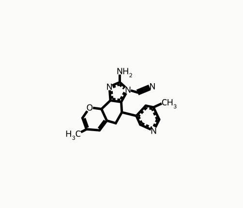 CC1=COC2C(=C1)CC(c1cncc(C)c1)c1c2nc(N)n1C#N